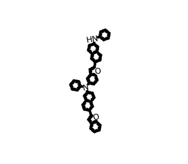 c1ccc(Nc2ccc3cc(-c4cc5cc(N(c6ccccc6)c6ccc7cc(-c8cc9ccccc9o8)ccc7c6)ccc5o4)ccc3c2)cc1